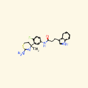 CC1(c2cc(NC(=O)CCc3c[nH]c4ccccc34)ccc2F)CCSC(N)=N1